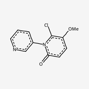 COc1ccc(=O)n(-c2cccnc2)c1Cl